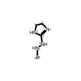 BrNNC1=NCCN1